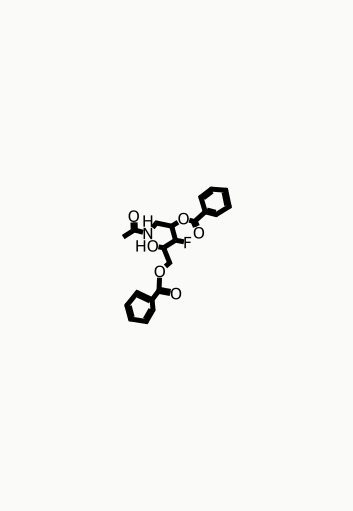 CC(=O)NCC(OC(=O)c1ccccc1)C(F)C(O)COC(=O)c1ccccc1